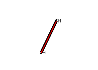 SSSSSSSSSSSSSSSSSSSSSSSSSSSSSSSSSSSSSSSSSSSSSSSSSSSSSSSSSSSSSSSSSSSSSSSSSSSSSSSSSSSSSSSSS